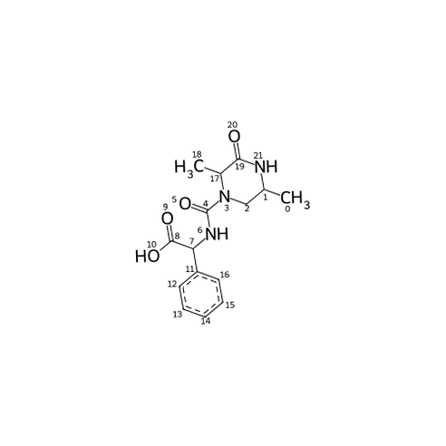 CC1CN(C(=O)NC(C(=O)O)c2ccccc2)C(C)C(=O)N1